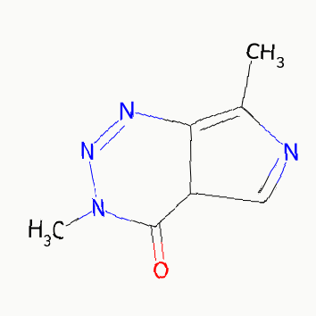 CC1=C2N=NN(C)C(=O)C2C=N1